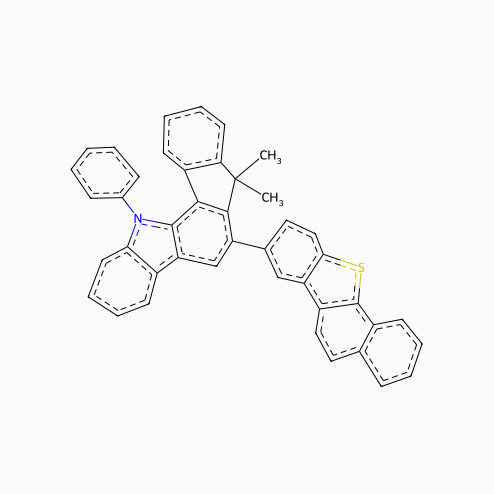 CC1(C)c2ccccc2-c2c1c(-c1ccc3sc4c5ccccc5ccc4c3c1)cc1c3ccccc3n(-c3ccccc3)c21